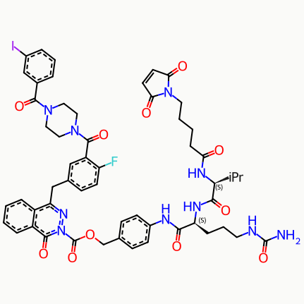 CC(C)[C@H](NC(=O)CCCCN1C(=O)C=CC1=O)C(=O)N[C@@H](CCCNC(N)=O)C(=O)Nc1ccc(COC(=O)n2nc(Cc3ccc(F)c(C(=O)N4CCN(C(=O)c5cccc(I)c5)CC4)c3)c3ccccc3c2=O)cc1